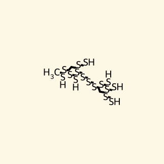 CC(S)SC(CC(SCS)SCSCSCSC(CC(SCS)SCS)SCS)SCS